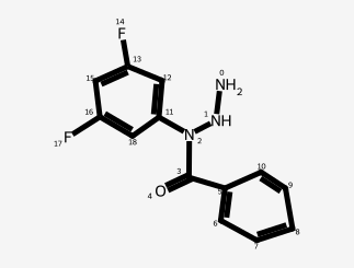 NNN(C(=O)c1ccccc1)c1cc(F)cc(F)c1